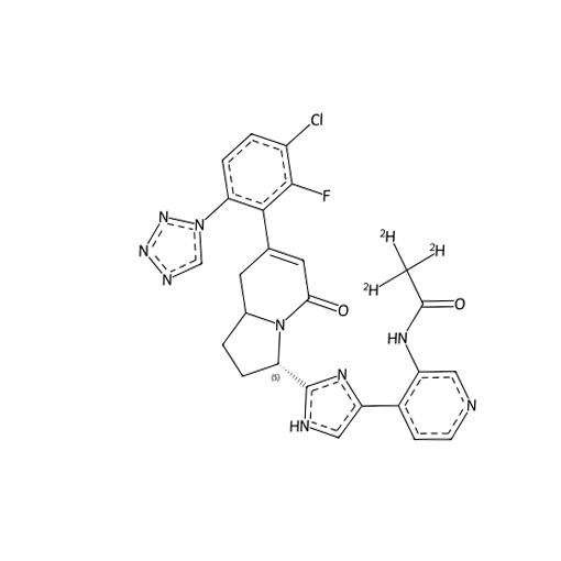 [2H]C([2H])([2H])C(=O)Nc1cnccc1-c1c[nH]c([C@@H]2CCC3CC(c4c(-n5cnnn5)ccc(Cl)c4F)=CC(=O)N32)n1